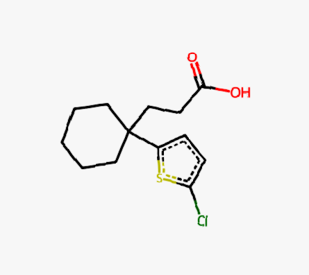 O=C(O)CCC1(c2ccc(Cl)s2)CCCCC1